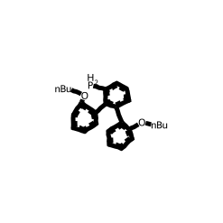 CCCCOc1ccccc1-c1cccc(P)c1-c1ccccc1OCCCC